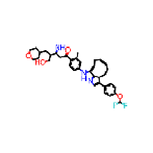 Cc1cc(N/C2=C\C/C=C\CCC3C(c4ccc(OC(F)F)cc4)=CN=C23)ccc1C(=O)CC(=N)C(CO)CC1CCOCC1